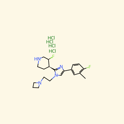 Cc1cc(-c2cn(CCN3CCC3)c([C@H]3CCNC[C@H]3F)n2)ccc1F.Cl.Cl.Cl.Cl